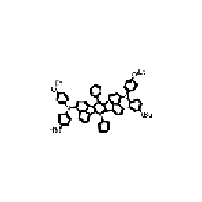 CCOc1ccc(N(c2ccc(C(C)(C)C)cc2)c2ccc3c4c(-c5ccccc5)c5c6ccc(N(c7ccc(OCC)cc7)c7ccc(C(C)(C)C)cc7)c7cccc(c5c(-c5ccccc5)c4c4cccc2c43)c76)cc1